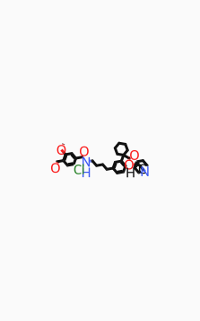 COc1cc(C(=O)NCCCCc2cccc(C3(C(=O)O[C@H]4CN5CCC4CC5)CCCCC3)c2)c(Cl)cc1C=O